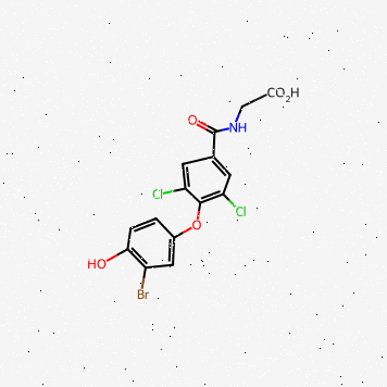 O=C(O)CNC(=O)c1cc(Cl)c(Oc2ccc(O)c(Br)c2)c(Cl)c1